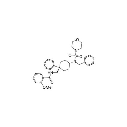 COc1ccccc1C(=O)NC[C@]1(c2ccccc2)CC[C@@H](N(Cc2ccccc2)S(=O)(=O)N2CCOCC2)CC1